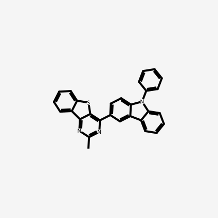 Cc1nc(-c2ccc3c(c2)c2ccccc2n3-c2ccccc2)c2sc3ccccc3c2n1